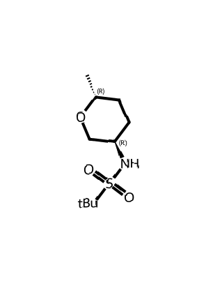 C[C@@H]1CC[C@@H](NS(=O)(=O)C(C)(C)C)CO1